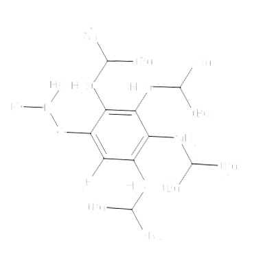 CC(C)(C)C([SiH2]c1c(F)c(OB(O)O)c([SiH2]C(C(C)(C)C)C(C)(C)C)c([SiH2]C(C(C)(C)C)C(C)(C)C)c1[SiH2]C(C(C)(C)C)C(C)(C)C)C(C)(C)C